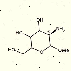 COC1OC(CO)C(O)C(O)[C@H]1N